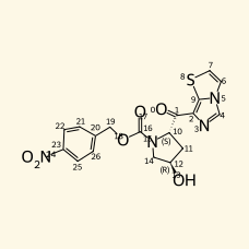 O=C(c1ncn2ccsc12)[C@@H]1C[C@@H](O)CN1C(=O)OCc1ccc([N+](=O)[O-])cc1